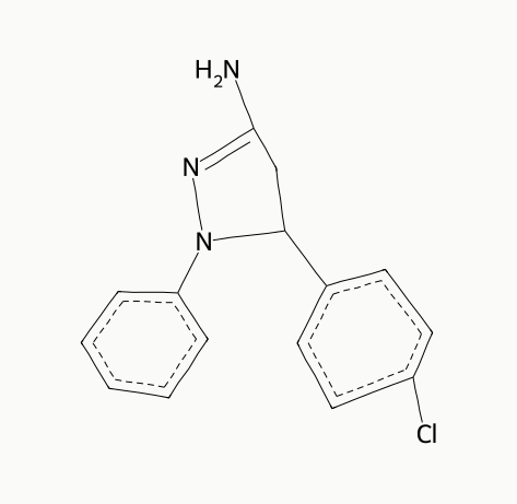 NC1=NN(c2ccccc2)C(c2ccc(Cl)cc2)C1